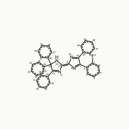 Fc1ccccc1C1=NC(=C2N=C(c3ccccc3)C(c3ccccc3)(c3ccccc3)N2)N=C1c1ccccc1